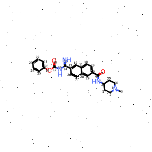 CN1CCC(NC(=O)c2ccc3cc(C(=N)NC(=O)Oc4ccccc4)ccc3c2)CC1